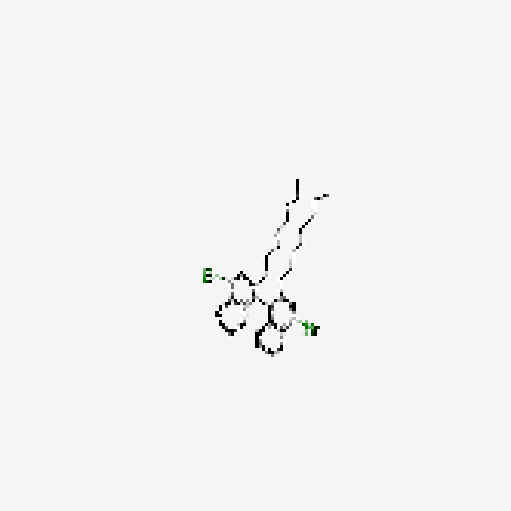 CCCCCCCCc1cc(Br)c2ccccc2c1-c1c(CCCCCCCC)cc(Br)c2ccccc12